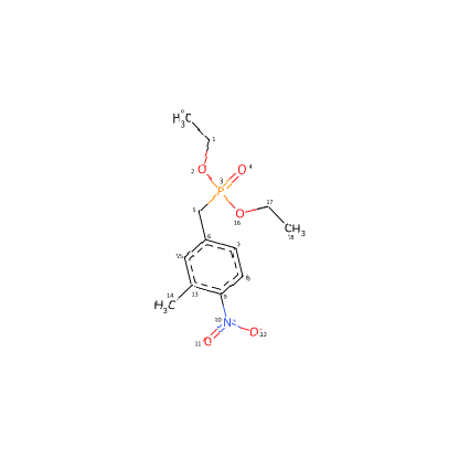 CCOP(=O)(Cc1ccc([N+](=O)[O-])c(C)c1)OCC